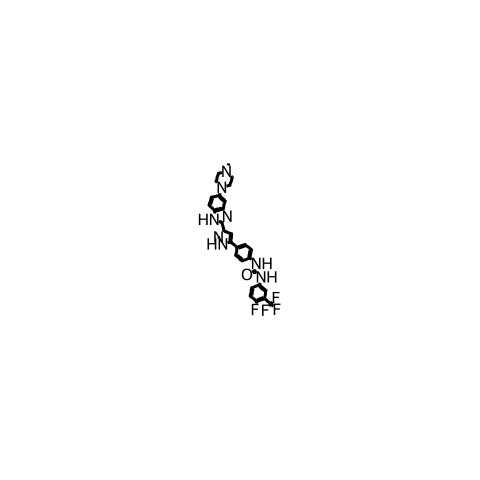 CN1CCN(c2ccc3[nH]c(-c4cc(-c5ccc(NC(=O)Nc6ccc(F)c(C(F)(F)F)c6)cc5)[nH]n4)nc3c2)CC1